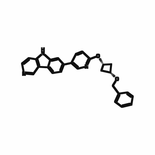 c1ccc(CO[C@H]2C[C@@H](Oc3ccc(-c4ccc5c(c4)[nH]c4ccncc45)cn3)C2)cc1